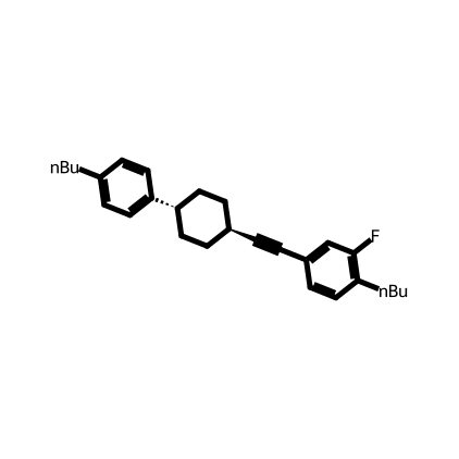 CCCCc1ccc([C@H]2CC[C@H](C#Cc3ccc(CCCC)c(F)c3)CC2)cc1